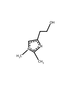 Cc1nc(CCO)cn1C